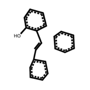 Oc1ccccc1C=Cc1ccccc1.c1ccccc1